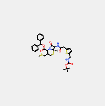 CSCC1=C(C(=O)OC(c2ccccc2)c2ccccc2)N2C(=O)[C@@H](NC(=O)Cc3ccc(CNC(=O)OC(C)(C)C)s3)[C@H]2SC1